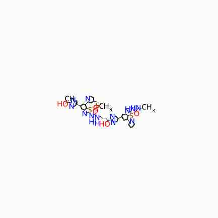 CCNC(=O)Nc1nc2cc(-c3cnc(C(O)CCCNC(=O)Nc4nc5cc(-c6cnc(C(C)O)nc6)cc(-c6cc(C[S+](C)[O-])ccn6)c5s4)nc3)cc(-c3ccccn3)c2s1